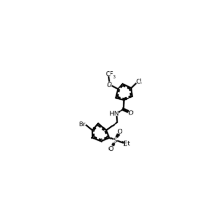 CCS(=O)(=O)c1ccc(Br)cc1CNC(=O)c1cc(Cl)cc(OC(F)(F)F)c1